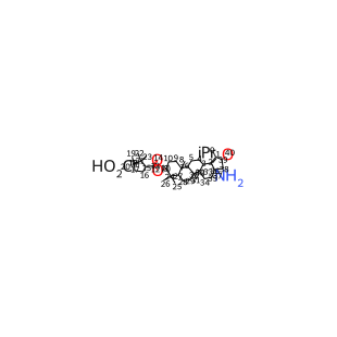 CC(C)C1=C2C3CCC4C5(C)CC[C@H](OC(=O)C6CC[C@@](C)(C(=O)O)C6(C)C)C(C)(C)C5CCC4(C)[C@]3(C)CCC2(N)CC1=O